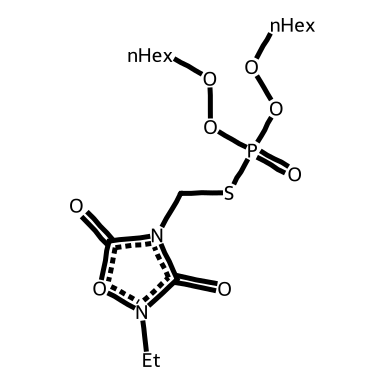 CCCCCCOOP(=O)(OOCCCCCC)SCn1c(=O)on(CC)c1=O